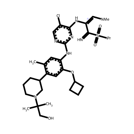 CN/C=C(/Nc1nc(Nc2cc(C)c(C3CCCN(C(C)(C)CO)C3)cc2OC2CCC2)ncc1Cl)C(=N)S(=O)(=O)C(C)C